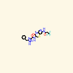 CN1C(=O)[C@@H](NC(=O)c2n[nH]c(Cc3ccccc3)n2)CSc2cc(NC(=O)CC(F)(F)F)ncc21